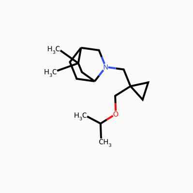 CC(C)OCC1(CN2CC3CCC2CC3(C)C)CC1